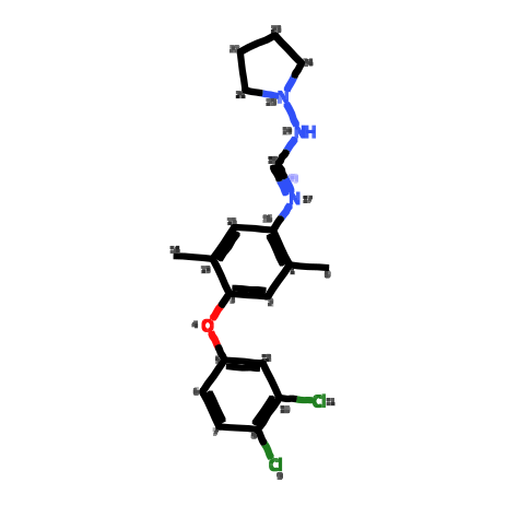 Cc1cc(Oc2ccc(Cl)c(Cl)c2)c(C)cc1/N=C/NN1CCCC1